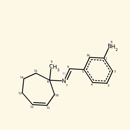 Bc1cccc(/C=N/C2(C)CC=CCCC2)c1